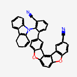 N#Cc1ccc2oc3ccc4oc5ccc(-c6cccc(C#N)c6-n6c7c(c8ccccc86)CCC=C7)cc5c4c3c2c1